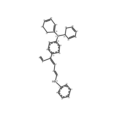 C=C/C(=C\C=C\Nc1ccccc1)c1ccc(N(C2=CC=CCC2)C2C=CC=CC2)cc1